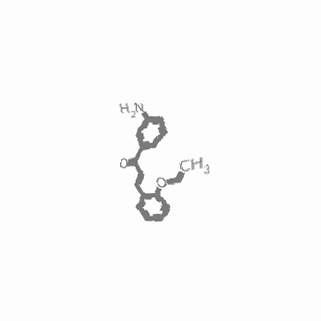 CCOc1ccccc1C=CC(=O)c1cccc(N)c1